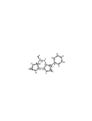 C[C@H]1Cc2c(cnn2-c2ccccc2)-c2cncn21